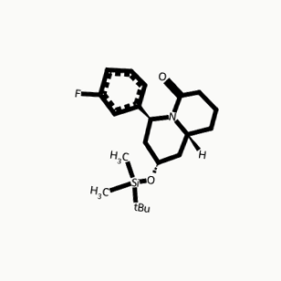 CC(C)(C)[Si](C)(C)O[C@H]1C[C@H]2CCCC(=O)N2[C@H](c2cccc(F)c2)C1